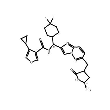 O=C(N[C@H](c1cn2nc(CC3C[C@@H](C(F)(F)F)NC3=O)ccc2n1)C1CCC(F)(F)CC1)c1nonc1C1CC1